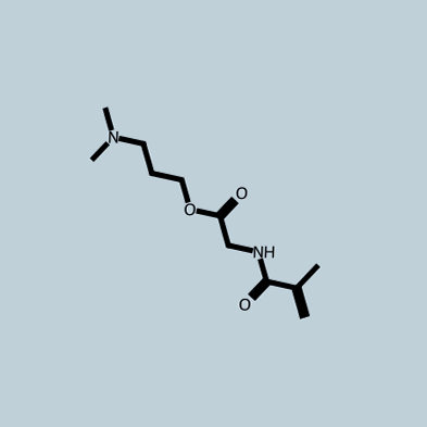 C=C(C)C(=O)NCC(=O)OCCCN(C)C